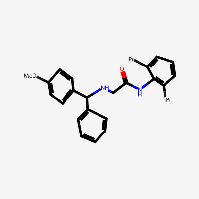 COc1ccc(C(NCC(=O)Nc2c(C(C)C)cccc2C(C)C)c2ccccc2)cc1